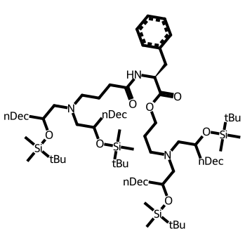 CCCCCCCCCCC(CN(CCCOC(=O)[C@H](Cc1ccccc1)NC(=O)CCCN(CC(CCCCCCCCCC)O[Si](C)(C)C(C)(C)C)CC(CCCCCCCCCC)O[Si](C)(C)C(C)(C)C)CC(CCCCCCCCCC)O[Si](C)(C)C(C)(C)C)O[Si](C)(C)C(C)(C)C